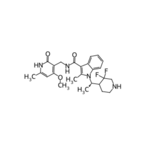 COc1cc(C)[nH]c(=O)c1CNC(=O)c1c(C)n([C@H](C)C2CCNCC2(F)F)c2ccccc12